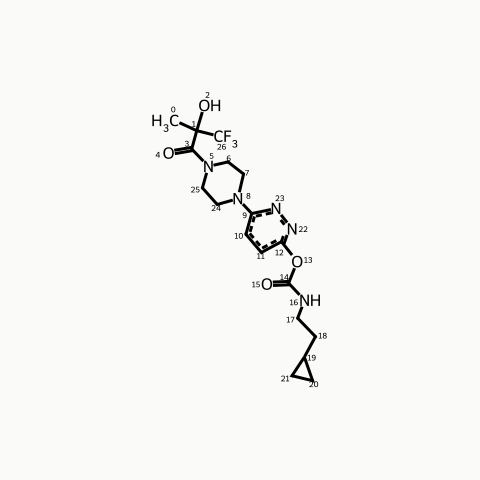 CC(O)(C(=O)N1CCN(c2ccc(OC(=O)NCCC3CC3)nn2)CC1)C(F)(F)F